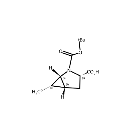 C[C@H]1[C@H]2C[C@@H](C(=O)O)N(C(=O)OC(C)(C)C)[C@@H]12